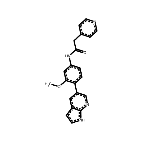 COc1cc(NC(=O)Cc2ccncc2)ccc1-c1cnc2[nH]ccc2c1